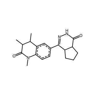 CC1C(=O)N(C)c2ccc(C3=NNC(=O)C4CCCC34)cc2C1C